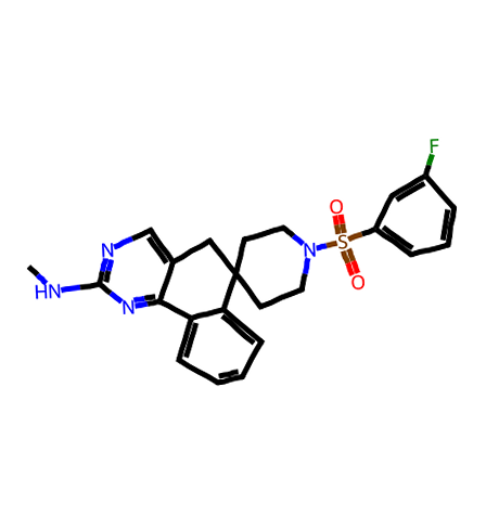 CNc1ncc2c(n1)-c1ccccc1C1(CCN(S(=O)(=O)c3cccc(F)c3)CC1)C2